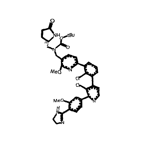 COc1cc(-c2nccc(-c3cccc(-c4ccc(CN(C[C@@H]5CCC(=O)N5)C(=O)OC(C)(C)C)c(OC)n4)c3Cl)c2Cl)ccc1C1=NCCN1